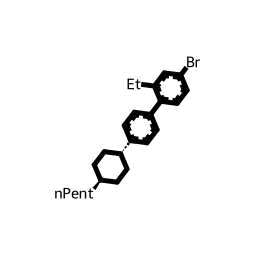 CCCCC[C@H]1CC[C@H](c2ccc(-c3ccc(Br)cc3CC)cc2)CC1